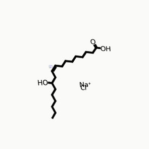 CCCCCCC(O)C/C=C\CCCCCCCC(=O)O.[Cl-].[Na+]